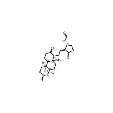 C=C1CC[C@@H]2[C@]3(C)COS(=O)O[C@@H]3CC[C@@]2(C)[C@@H]1C/C=C1\C(=O)OC[C@H]1NC=O